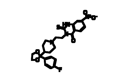 O=c1c2ccc([N+](=O)[O-])cc2[nH]c(=S)n1CCN1CCC(C2(c3ccc(F)cc3)OCCO2)CC1